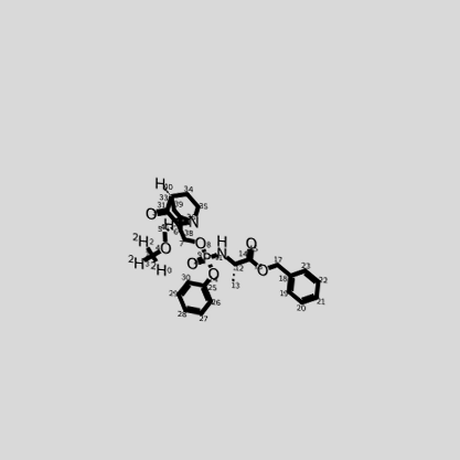 [2H]C([2H])([2H])OC[C@]1(COP(=O)(N[C@@H](C)C(=O)OCc2ccccc2)Oc2ccccc2)C(=O)[C@H]2CCN1[C@H](C)C2